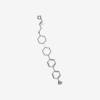 Cl/C=C/CC[C@H]1CC[C@H](C2CCC(c3ccc(-c4ccc(Br)cc4)cc3)CC2)CC1